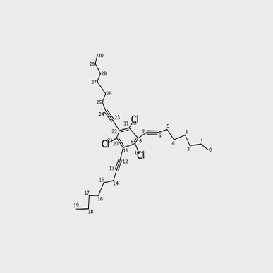 CCCCCCC#Cc1c(Cl)c(C#CCCCCCC)c(Cl)c(C#CCCCCCC)c1Cl